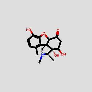 Cc1ccc(O)c2c1[C@]13CCN(C)[C@H](C)[C@]1(O)C(O)CC(=O)C3O2